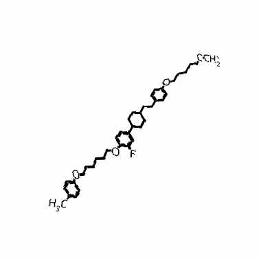 [CH2+][CH-]CCCCCOc1ccc(CCC2CCC(c3ccc(OCCCCCCOc4ccc(C)cc4)c(F)c3)CC2)cc1